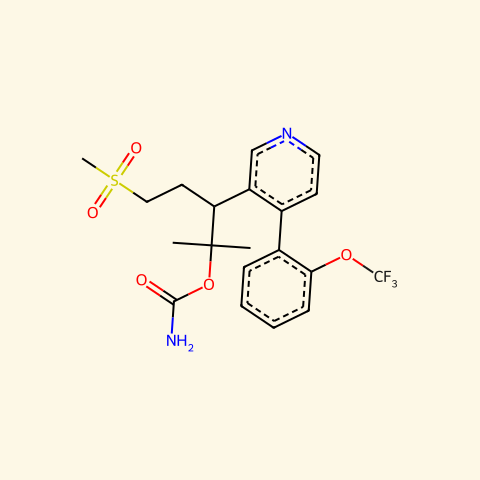 CC(C)(OC(N)=O)C(CCS(C)(=O)=O)c1cnccc1-c1ccccc1OC(F)(F)F